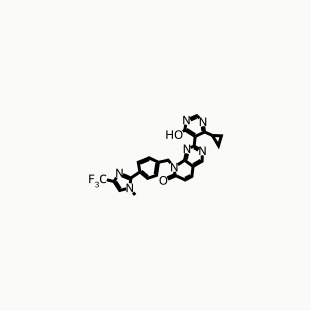 Cn1cc(C(F)(F)F)nc1-c1ccc(Cn2c(=O)ccc3cnc(-c4c(O)ncnc4C4CC4)nc32)cc1